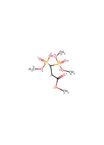 COC(=O)CC(P(=O)(O)OC)P(=O)(OC)OC